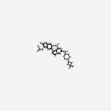 CNc1nc(NC2CCN(C3CC(F)(F)C3)CC2)nn2ccc(-c3ccc4nc(C)n(CC(F)F)c4n3)c12